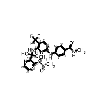 CNC(=O)c1ccc(Nc2ncc(C(F)(F)F)c(NC(O)(O)c3nccnc3N(C)[S+](C)[O-])n2)cc1